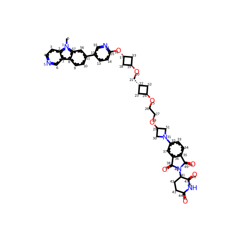 Cn1c2ccncc2c2ccc(-c3ccc(O[C@H]4C[C@H](OC[C@H]5C[C@H](OCCOC6CN(c7ccc8c(c7)C(=O)N(C7CCC(=O)NC7=O)C8=O)C6)C5)C4)nc3)cc21